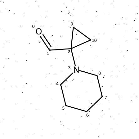 O=CC1(N2CC[CH]CC2)CC1